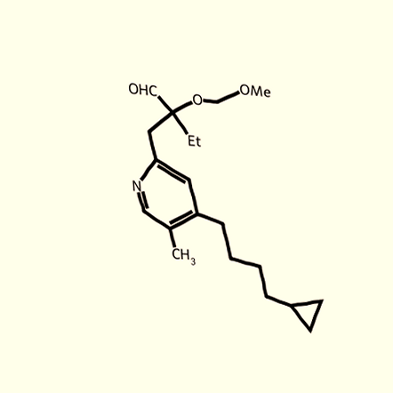 CCC(C=O)(Cc1cc(CCCCC2CC2)c(C)cn1)OCOC